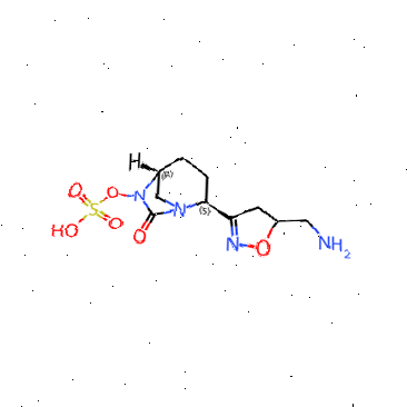 NCC1CC([C@@H]2CC[C@@H]3CN2C(=O)N3OS(=O)(=O)O)=NO1